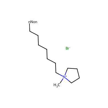 CCCCCCCCCCCCCCCC[N+]1(C)CCCC1.[Br-]